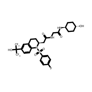 O=C(C[C@@H]1CCc2cc(C(O)(C(F)(F)F)C(F)(F)F)ccc2N1S(=O)(=O)c1ccc(F)cc1)NCC(=O)N[C@H]1CC[C@H](O)CC1